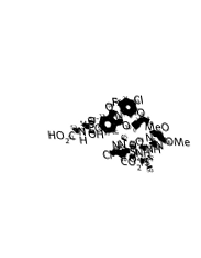 C#CC(C)Oc1cc(N2C(=O)C3=C(CCCC3)C2=O)c(F)cc1Cl.COc1cc(OC)nc(NC(=O)NS(=O)(=O)c2c(C(=O)O)c(Cl)nn2C)n1.C[S+](C)C.O=C(O)CNCP(=O)([O-])O